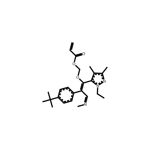 C=CC(=O)OCO/C(=C(/C=N\C)c1ccc(C(C)(C)C)cc1)c1c(C)c(C)nn1CC